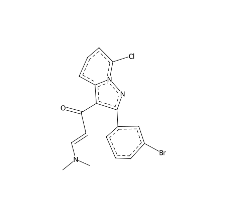 CN(C)/C=C/C(=O)c1c(-c2cccc(Br)c2)nn2c(Cl)cccc12